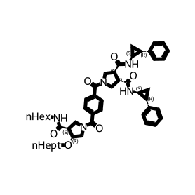 CCCCCCCO[C@H]1CN(C(=O)c2ccc(C(=O)N3C[C@@H](C(=O)N[C@H]4C[C@@H]4c4ccccc4)[C@H](C(=O)N[C@H]4C[C@@H]4c4ccccc4)C3)cc2)C[C@@H]1C(=O)NCCCCCC